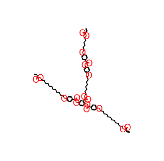 C=CC(=O)OCCCCCCCCCCCCOc1ccc(C(=O)Oc2ccc(OC(=O)c3ccc(OCCCCCCCCCCCCOC(=O)C=C)cc3)c(C(=O)OCCCCCCCCOc3ccc(OC(=O)c4ccc(OCCCCCCOC(=O)C=C)cc4)cc3)c2)cc1